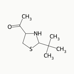 CC(=O)C1CSC(C(C)(C)C)N1